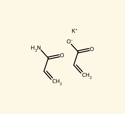 C=CC(=O)[O-].C=CC(N)=O.[K+]